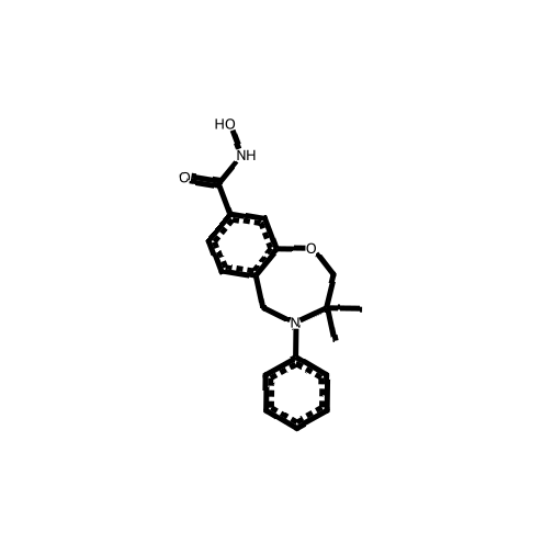 CC1(C)COc2cc(C(=O)NO)ccc2CN1c1ccccc1